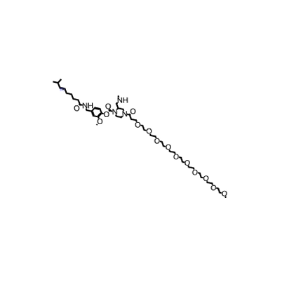 CNCC1CN(C(=O)CCOCCOCCOCCOCCOCCOCCOCCOCCOCCOC)CCN1C(=O)Oc1ccc(CNC(=O)CCCC/C=C/C(C)C)cc1OC